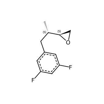 C[C@@H](Cc1cc(F)cc(F)c1)[C@H]1CO1